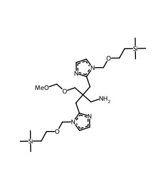 COCOCC(CN)(Cc1nccn1COCC[Si](C)(C)C)Cc1nccn1COCC[Si](C)(C)C